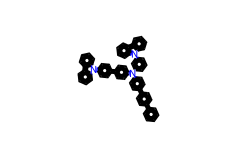 c1ccc(-c2ccc(-c3ccc(N(c4ccc(-c5ccc(-n6c7ccccc7c7ccccc76)cc5)cc4)c4cccc(-n5c6ccccc6c6ccccc65)c4)cc3)cc2)cc1